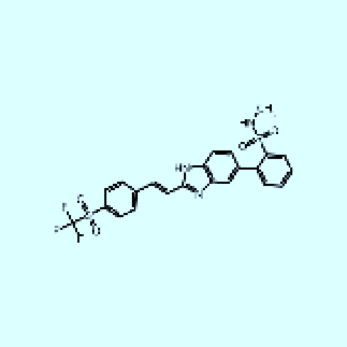 CNS(=O)(=O)c1ccccc1-c1ccc2[nH]c(C=Cc3ccc(S(=O)(=O)C(F)(F)F)cc3)nc2c1